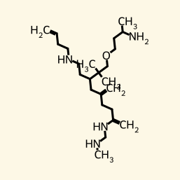 C=CCCNCCC(CC(=C)CCC(=C)NCNC)C(C)(C)COCCC(C)N